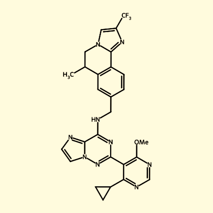 COc1ncnc(C2CC2)c1-c1nc(NCc2ccc3c(c2)C(C)Cn2cc(C(F)(F)F)nc2-3)c2nccn2n1